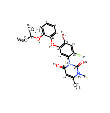 CO[C@H](Oc1ccccc1Oc1cc(-n2c(=O)cc(C(F)(F)F)n(C)c2=O)c(F)cc1Br)C(=O)O